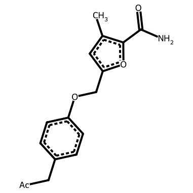 CC(=O)Cc1ccc(OCc2cc(C)c(C(N)=O)o2)cc1